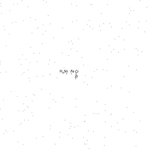 [Cr].[Fe].[SnH4].[Zr]